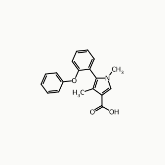 Cc1c(C(=O)O)cn(C)c1-c1ccccc1Oc1ccccc1